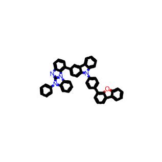 c1ccc(-n2c3ccccc3n3c4c(-c5ccc6c(c5)c5ccccc5n6-c5ccc(-c6cccc7c6oc6ccccc67)cc5)cccc4nc23)cc1